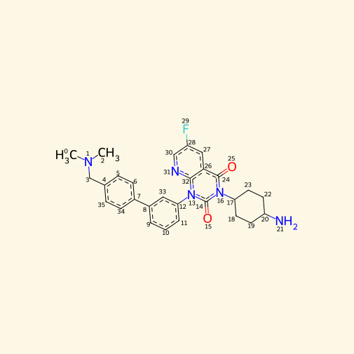 CN(C)Cc1ccc(-c2cccc(-n3c(=O)n(C4CCC(N)CC4)c(=O)c4cc(F)cnc43)c2)cc1